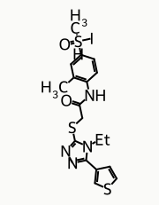 CCn1c(SCC(=O)Nc2ccc([SH](C)(=O)I)cc2C)nnc1-c1ccsc1